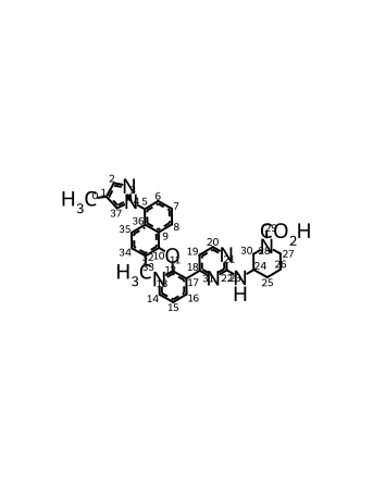 Cc1cnn(-c2cccc3c(Oc4ncccc4-c4ccnc(NC5CCCN(C(=O)O)C5)n4)c(C)ccc23)c1